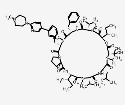 CC[C@H](C)[C@@H]1NC(=O)[C@@H]2CCCN2C(=O)[C@H](Cc2cccc(-c3ccc(N4CCN(C)CC4)nc3)c2)N(C)C(=O)[C@H](Cc2ccccc2)NC(=O)[C@H](C(C)C)N(C)C(=O)[C@@H]([C@@H](C)CC)OC(=O)[C@H](C(C)(C)O)N(C)C(=O)[C@H](CC(C)C)NC(=O)[C@H](C(C)C)N(C)C1=O